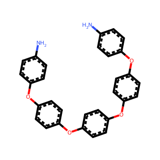 Nc1ccc(Oc2ccc(Oc3ccc(Oc4ccc(Oc5ccc(N)cc5)cc4)cc3)cc2)cc1